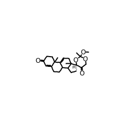 COC1(C)OCC(=O)[C@]2(CCC3C4CCC5=CC(=O)CCC5(C)C4=CCC32C)O1